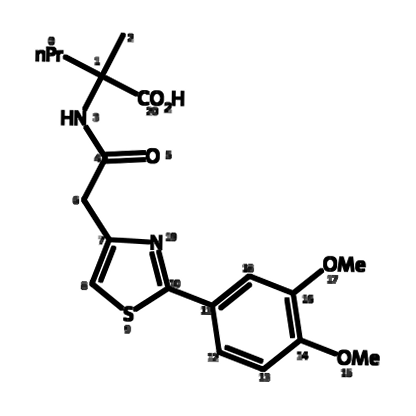 CCCC(C)(NC(=O)Cc1csc(-c2ccc(OC)c(OC)c2)n1)C(=O)O